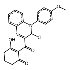 COc1ccc(N2c3ccccc3N=C(C(=O)C3=C(O)CCCC3=O)C2Cl)cc1